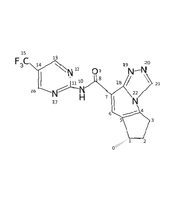 C[C@H]1CCc2c1cc(C(=O)Nc1ncc(C(F)(F)F)cn1)c1nncn21